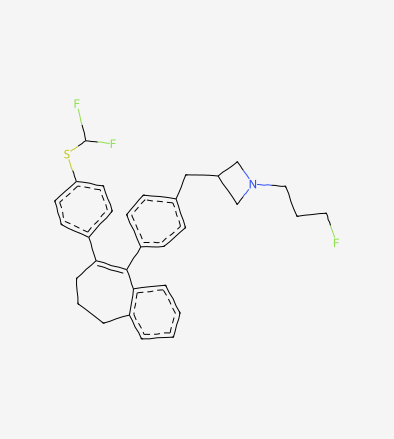 FCCCN1CC(Cc2ccc(C3=C(c4ccc(SC(F)F)cc4)CCCc4ccccc43)cc2)C1